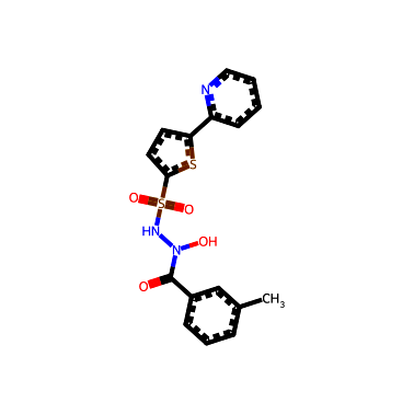 Cc1cccc(C(=O)N(O)NS(=O)(=O)c2ccc(-c3ccccn3)s2)c1